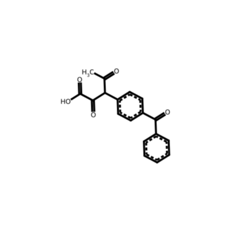 CC(=O)C(C(=O)C(=O)O)c1ccc(C(=O)c2ccccc2)cc1